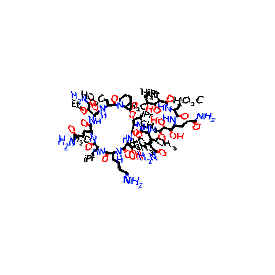 CCOC(C(N)=O)C1NC(=O)C(CCC(N)=O)N(C)C(=O)C(CC(C)C)NC(=O)C(CCCCN)NC(=O)C(C(C)O)NC(=O)C(NC(=O)C(NC(=O)C(O)C(O)C(CCC(N)=O)NC(=O)C(CC(=O)O)NC(=O)C(C)C(O)C(C)CC(C)C)C(C)C(C)C(N)=O)C(C(C)C(C)C)OC(=O)C2CCCCN2C(=O)C(CC(=O)O)NC1=O